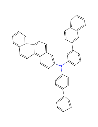 c1ccc(-c2ccc(N(c3cccc(-c4ccc5ccccc5c4)c3)c3ccc4c(ccc5c6ccccc6ccc45)c3)cc2)cc1